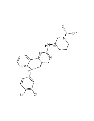 O=C(O)N1CCC[C@@H](Nc2ncc3c(n2)-c2ccccc2[C@@H](c2ccc(Cl)c(Cl)c2)C3)C1